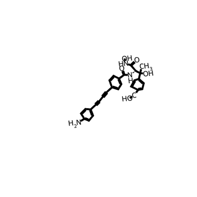 CC(O)(c1ccc(CO)cc1)[C@H](NC(=O)c1ccc(C#CC#Cc2ccc(N)cc2)cc1)C(=O)NO